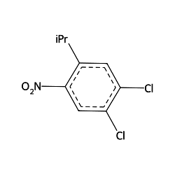 CC(C)c1cc(Cl)c(Cl)cc1[N+](=O)[O-]